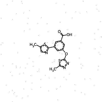 Cc1cnc(-c2cc(Oc3nnc(C)s3)cc(C(=O)O)c2)s1